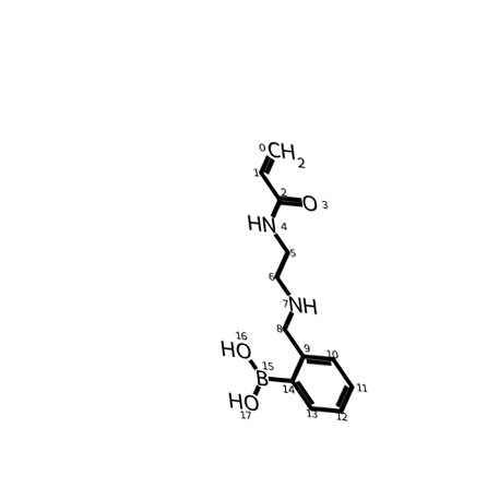 C=CC(=O)NCCNCc1ccccc1B(O)O